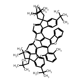 Cc1cccc(C)c1-c1c2oc3ccccc3c2c2c3c4c(ncc3n3c5cnc6c(c5c1c23)-c1ccc(C(C)(C)C)cc1C6(CC(C)(C)C)CC(C)(C)C)C(CC(C)(C)C)(CC(C)(C)C)c1cc(C(C)(C)C)ccc1-4